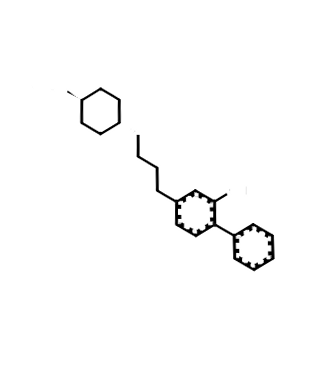 CCCCC[C@H]1CC[C@H](CCCCc2ccc(-c3ccccc3)c(O)c2)CC1